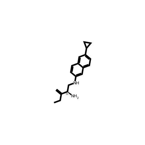 C=C(CC)[C@H](N)CNc1ccc2cc(C3CC3)ccc2c1